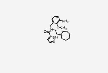 COc1c(N)cccc1CN(CCN1CCCCCC1)C(=O)c1ccn[nH]1